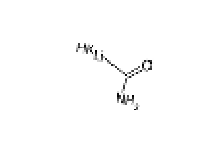 [KH].[Li][C](N)=O